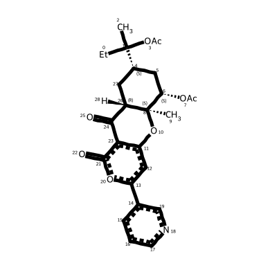 CCC(C)(OC(C)=O)[C@@H]1C[C@H](OC(C)=O)[C@@]2(C)Oc3cc(-c4cccnc4)oc(=O)c3C(=O)[C@@H]2C1